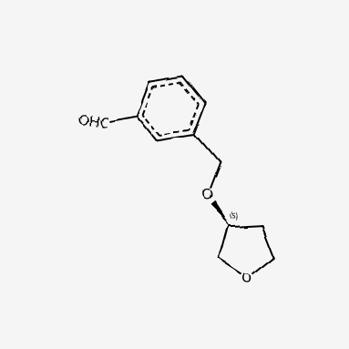 O=Cc1cccc(CO[C@H]2CCOC2)c1